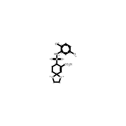 CCOC(=O)C1=CC2(CCC1S(=O)(=O)Nc1cc(Cl)ccc1Cl)OCCO2